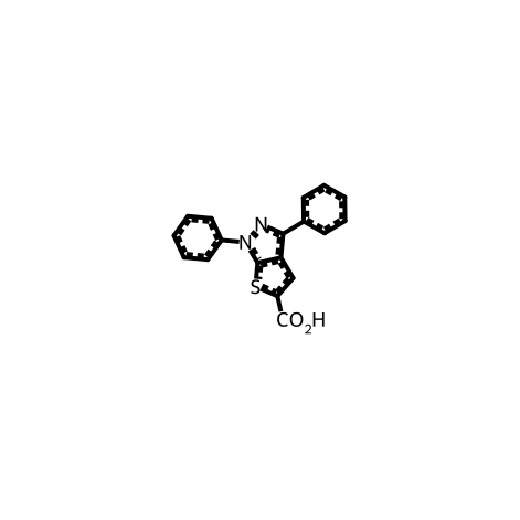 O=C(O)c1cc2c(-c3ccccc3)nn(-c3ccccc3)c2s1